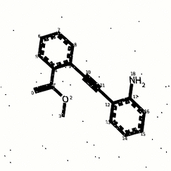 C=C(OC)c1ccccc1C#Cc1ccccc1N